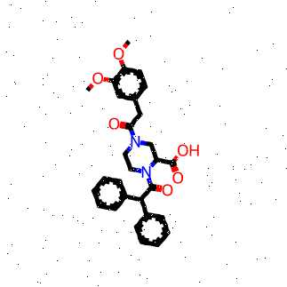 COc1ccc(CC(=O)N2CCN(C(=O)C(c3ccccc3)c3ccccc3)C(C(=O)O)C2)cc1OC